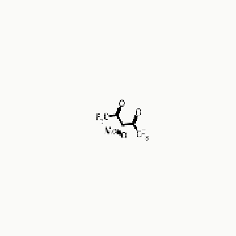 O=C(CC(=O)C(F)(F)F)C(F)(F)F.[O]=[Mo]